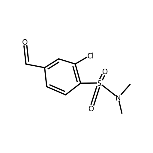 CN(C)S(=O)(=O)c1ccc(C=O)cc1Cl